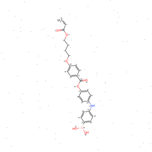 C=CC(=O)OCCCCOc1ccc(C(=O)Oc2ccc(Nc3ccc(B(O)O)cc3)cc2)cc1